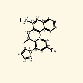 CC(Oc1cc2ccccc2nc1N)c1ncc(F)cc1-n1cccn1